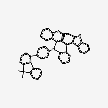 CC1(C)c2ccccc2-c2c(-c3ccc(N(c4ccccc4-c4cccc5sc6ccccc6c45)c4cccc5ccccc45)cc3)cccc21